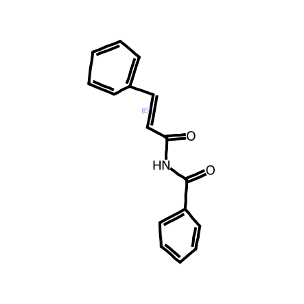 O=C(/C=C/c1ccccc1)NC(=O)c1ccccc1